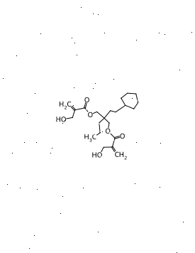 C=C(CO)C(=O)OCC(CCC)(CCC1CCCCC1)COC(=O)C(=C)CO